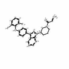 C=CC(=O)N1CCC[C@@H](n2nc(-c3ccc(Oc4c(F)cccc4F)cc3)c3cncnc32)C1